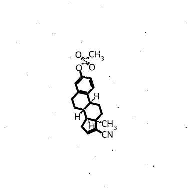 C[C@]12CC[C@@H]3c4ccc(OS(C)(=O)=O)cc4CC[C@H]3[C@@H]1CC=C2C#N